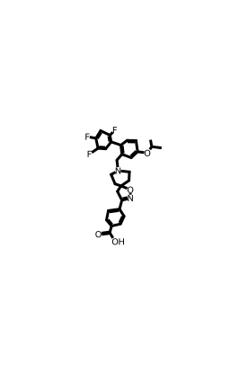 CC(C)Oc1ccc(-c2cc(F)c(F)cc2F)c(CN2CCC3(CC2)CC(c2ccc(C(=O)O)cc2)=NO3)c1